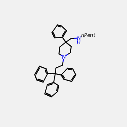 CCCCCNCC1(c2ccccc2)CCN(CCC(c2ccccc2)(c2ccccc2)c2ccccc2)CC1